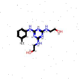 CCc1cccc(Nc2nc(NCCO)nc(NCCO)n2)c1